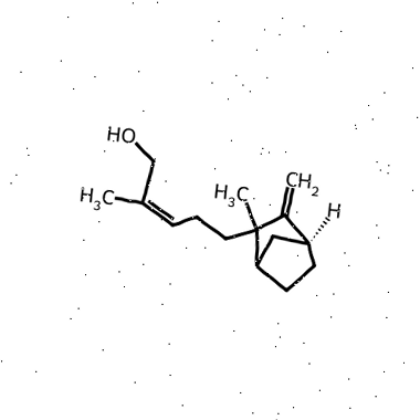 C=C1[C@H]2CCC(C2)C1(C)CC/C=C(/C)CO